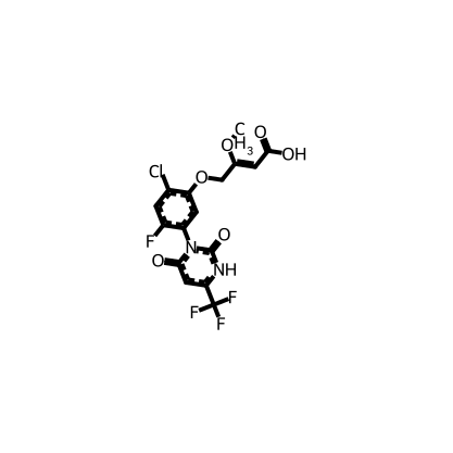 COC(=CC(=O)O)COc1cc(-n2c(=O)cc(C(F)(F)F)[nH]c2=O)c(F)cc1Cl